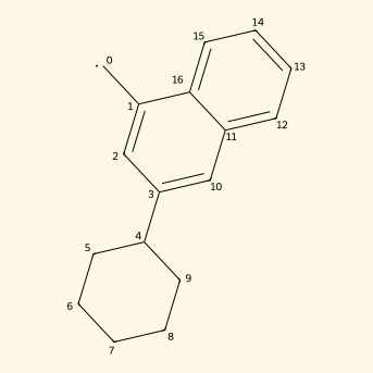 [CH2]c1cc(C2CCCCC2)cc2ccccc12